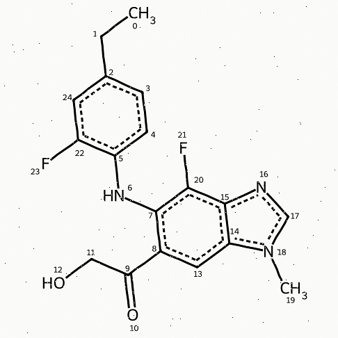 CCc1ccc(Nc2c(C(=O)CO)cc3c(ncn3C)c2F)c(F)c1